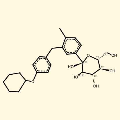 Cc1ccc([C@]2(O)O[C@H](CO)[C@@H](O)[C@H](O)[C@H]2O)cc1Cc1ccc(OC2CCCCC2)cc1